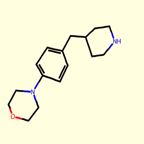 c1cc(N2CCOCC2)ccc1CC1CCNCC1